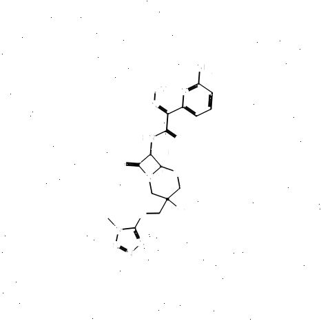 CON=C(C(=O)NC1C(=O)N2CC(CSc3nnnn3C)(C(=O)O)CS[C@H]12)c1cccc(N)n1